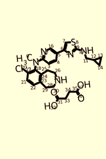 CN(c1ccc(-c2csc(NCC3CC3)n2)cn1)c1c(Cl)ccc2c1CCNCC2.O=C(O)CCC(=O)O